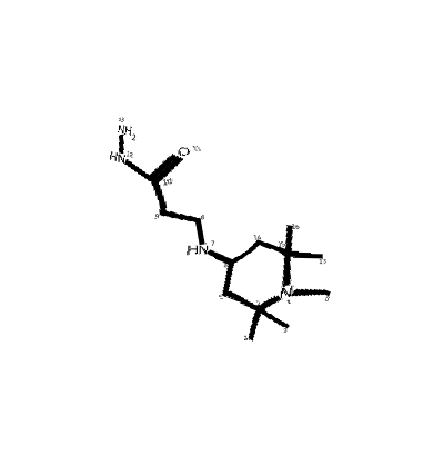 CN1C(C)(C)CC(NCCC(=O)NN)CC1(C)C